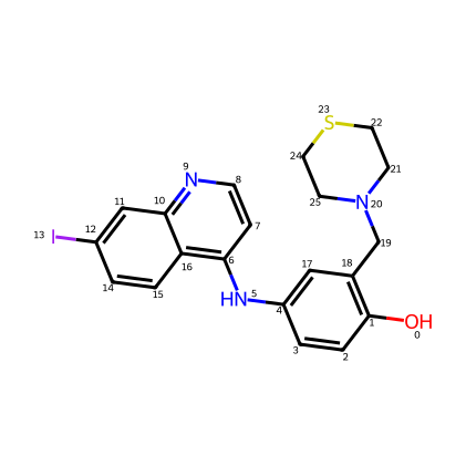 Oc1ccc(Nc2ccnc3cc(I)ccc23)cc1CN1CCSCC1